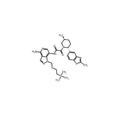 Cc1nc2cc([C@H]3CC[C@H](C)CN3C(=O)C(=O)Nc3cnc(N)c4cnn(COCC[Si](C)(C)C)c34)ccc2s1